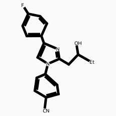 CCC(O)Cc1nc(-c2ccc(F)cc2)cn1-c1ccc(C#N)cc1